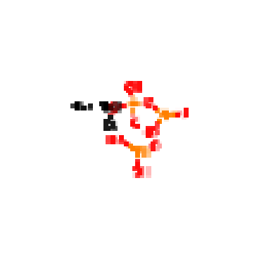 CCOP(=O)(O)O[PH](=O)O.O=[PH](O)O.[NaH].[NaH]